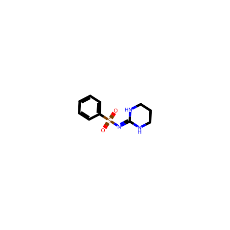 O=S(=O)(N=C1NCCCN1)c1ccccc1